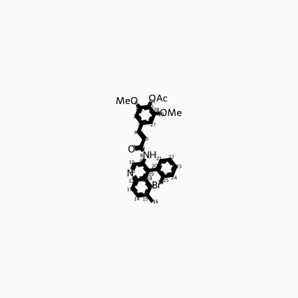 COc1cc(C=CC(=O)Nc2cnc3ccc(C)cc3c2-c2ccccc2Br)cc(OC)c1OC(C)=O